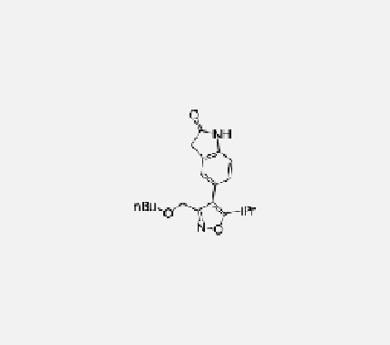 CCCCOCc1noc(C(C)C)c1-c1ccc2c(c1)CC(=O)N2